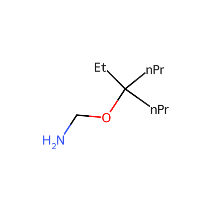 CCCC(CC)(CCC)OCN